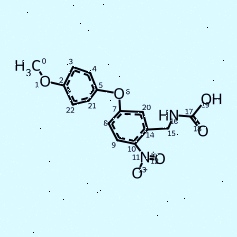 COc1ccc(Oc2ccc([N+](=O)[O-])c(CNC(=O)O)c2)cc1